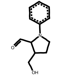 O=CC1C(CO)CCN1c1ccccc1